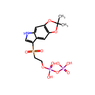 CC1(C)Oc2cc3[nH]cc(S(=O)(=O)CCOP(=O)(O)OP(=O)(O)O)c3cc2O1